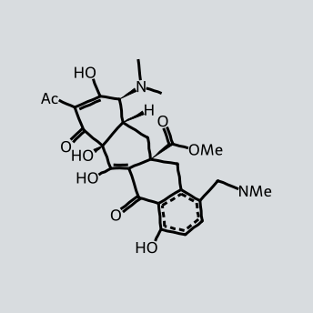 CNCc1ccc(O)c2c1C[C@@]1(C(=O)OC)C[C@H]3[C@H](N(C)C)C(O)=C(C(C)=O)C(=O)[C@@]3(O)C(O)=C1C2=O